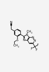 CCSc1cc(CC#N)ccc1-c1nc2cc(C(F)(F)F)nnc2n1C